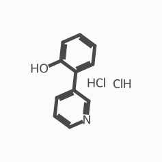 Cl.Cl.Oc1ccccc1-c1cccnc1